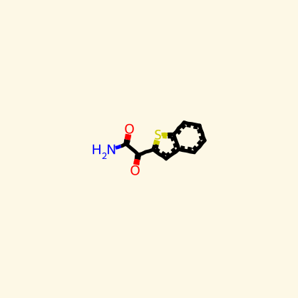 NC(=O)C(=O)c1cc2ccccc2s1